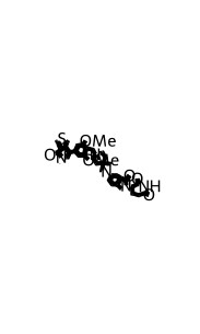 COc1cc(-c2cn(C)c(=O)c3cscc23)cc(OC)c1CN1CCC2(CC1)CN(c1ccc3c(c1)C(=O)N(C1CCC(=O)NC1=O)C3)C2